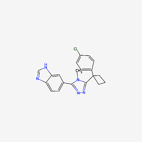 Cn1c(-c2ccc3nc[nH]c3c2)nnc1C1(c2ccc(Cl)cc2)CCC1